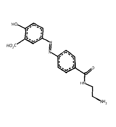 NCCNC(=O)c1ccc(N=Nc2ccc(O)c(C(=O)O)c2)cc1